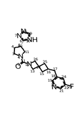 O=C(N1CC[C@H](c2nnc[nH]2)C1)N1CC2(CC(Cc3cncc(F)c3)C2)C1